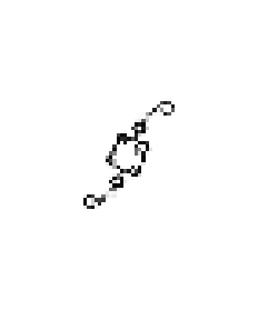 C1=CC2=NC1=CC1=NC(=C(c3ccc(OCCN4CCCCC4)cc3)C3=NC(=CC4=NC(=C2c2ccc(OCCN5CCCCC5)cc2)C=C4)C=C3)C=C1